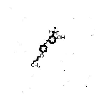 CCCCOc1ccc(Oc2ccc(O)c(C(F)(F)F)c2)cc1